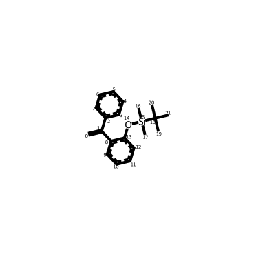 C=C(c1ccccc1)c1ccccc1O[Si](C)(C)C(C)(C)C